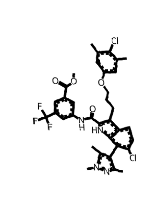 COC(=O)c1cc(NC(=O)c2[nH]c3c(-c4c(C)nn(C)c4C)c(Cl)ccc3c2CCCOc2cc(C)c(Cl)c(C)c2)cc(C(F)(F)F)c1